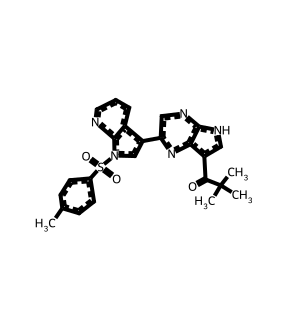 Cc1ccc(S(=O)(=O)n2cc(-c3cnc4[nH]cc(C(=O)C(C)(C)C)c4n3)c3cccnc32)cc1